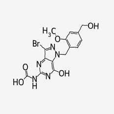 COc1cc(CO)ccc1Cn1nc(Br)c2nc(NC(=O)O)nc(O)c21